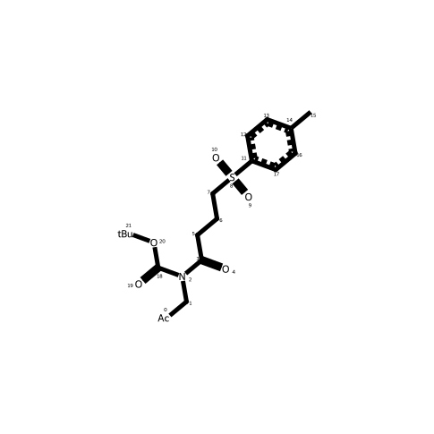 CC(=O)CN(C(=O)CCCS(=O)(=O)c1ccc(C)cc1)C(=O)OC(C)(C)C